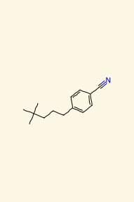 CC(C)(C)CCCc1ccc(C#N)cc1